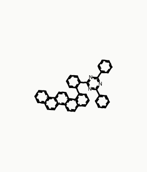 c1ccc(-c2nc(-c3ccccc3)nc(-c3ccccc3-c3cccc4ccc5c6ccc7ccccc7c6ccc5c34)n2)cc1